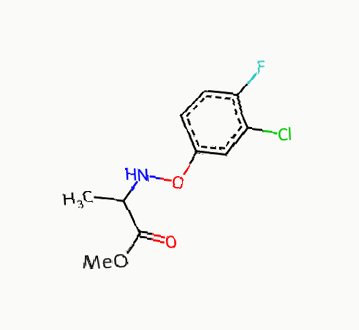 COC(=O)C(C)NOc1ccc(F)c(Cl)c1